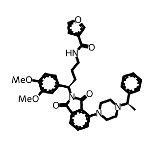 COc1ccc([C@@H](CCCNC(=O)c2ccoc2)N2C(=O)c3cccc(N4CCN([C@H](C)c5ccccc5)CC4)c3C2=O)cc1OC